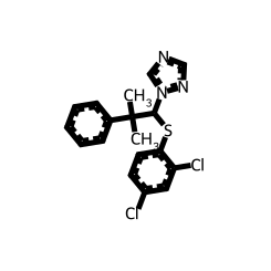 CC(C)(c1ccccc1)C(Sc1ccc(Cl)cc1Cl)n1cncn1